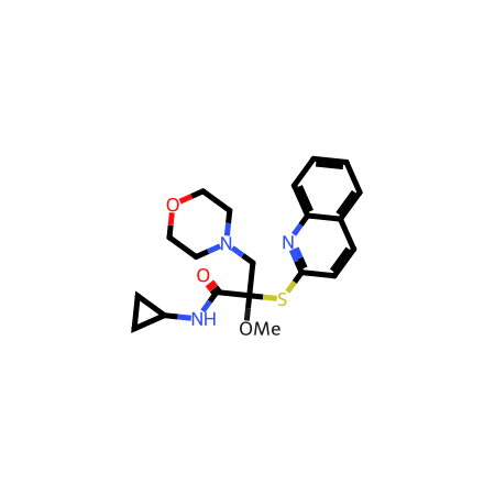 COC(CN1CCOCC1)(Sc1ccc2ccccc2n1)C(=O)NC1CC1